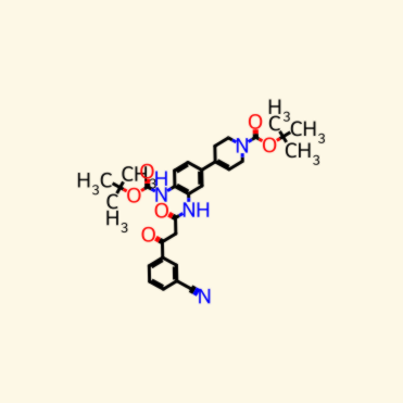 CC(C)(C)OC(=O)Nc1ccc(C2=CCN(C(=O)OC(C)(C)C)CC2)cc1NC(=O)CC(=O)c1cccc(C#N)c1